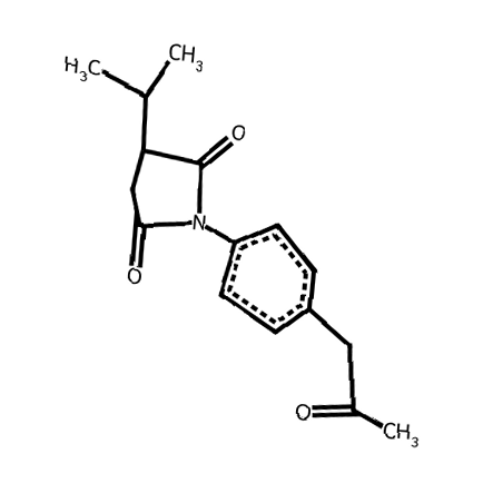 CC(=O)Cc1ccc(N2C(=O)CC(C(C)C)C2=O)cc1